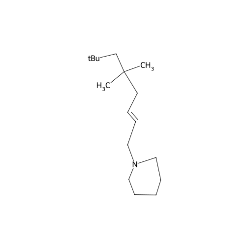 CC(C)(C)CC(C)(C)C/C=C/CN1CCCCC1